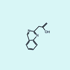 C=C(O)Cc1ncc2ccccc2n1